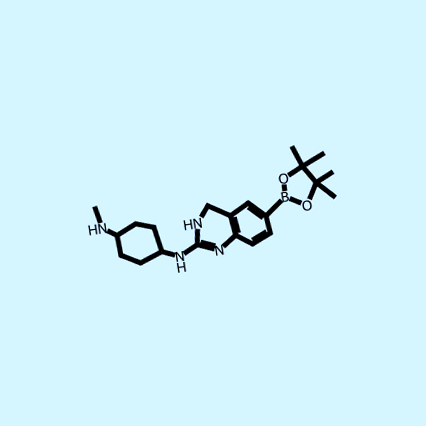 CNC1CCC(NC2=Nc3ccc(B4OC(C)(C)C(C)(C)O4)cc3CN2)CC1